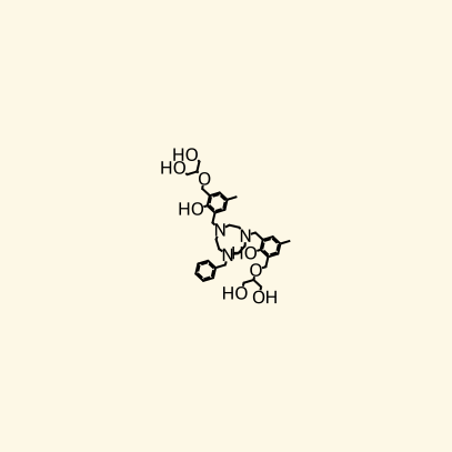 Cc1cc(COC(CO)CO)c(O)c(CN2CCN(Cc3ccccc3)CCN(Cc3cc(C)cc(COC(CO)CO)c3O)CC2)c1